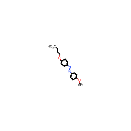 CCCOc1ccc(N=Nc2ccc(OCCCC(=O)O)cc2)cc1